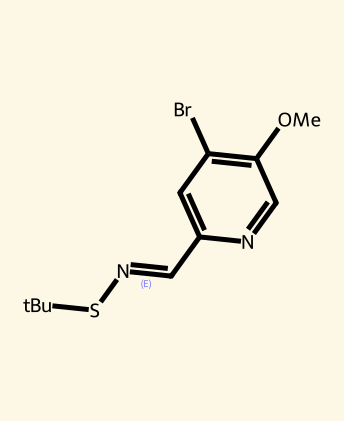 COc1cnc(/C=N/SC(C)(C)C)cc1Br